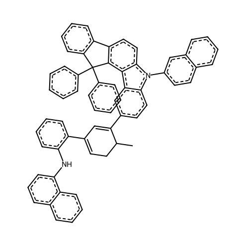 CC1CC=C(c2ccccc2Nc2cccc3ccccc23)C=C1c1ccc2c(c1)c1c3c(ccc1n2-c1ccc2ccccc2c1)-c1ccccc1C3(c1ccccc1)c1ccccc1